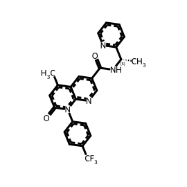 Cc1cc(=O)n(-c2ccc(C(F)(F)F)cc2)c2ncc(C(=O)N[C@@H](C)c3ccccn3)cc12